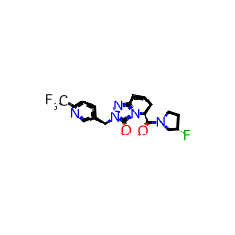 O=C([C@@H]1CC=Cc2nn(Cc3ccc(C(F)(F)F)nc3)c(=O)n21)N1CC[C@H](F)C1